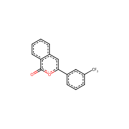 O=c1oc(-c2cccc(C(F)(F)F)c2)cc2ccccc12